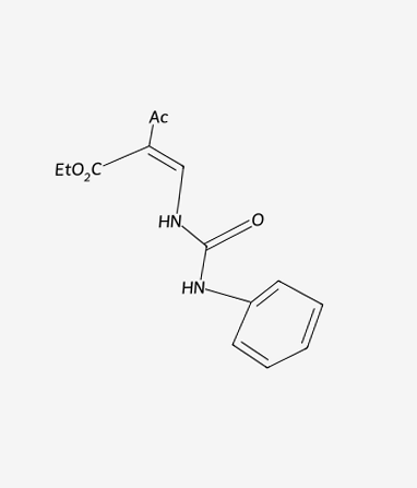 CCOC(=O)/C(=C\NC(=O)Nc1ccccc1)C(C)=O